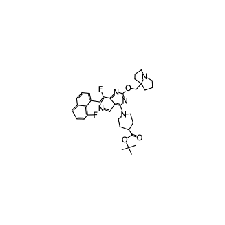 CC(C)(C)OC(=O)C1CCN(c2nc(OCC34CCCN3CCC4)nc3c(F)c(-c4cccc5cccc(F)c45)ncc23)CC1